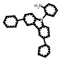 Nc1ccccc1-n1c2ccc(-c3ccccc3)cc2c2cc(-c3ccccc3)ccc21